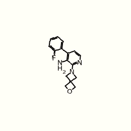 Nc1c(-c2ccccc2F)ccnc1N1CC2(COC2)C1